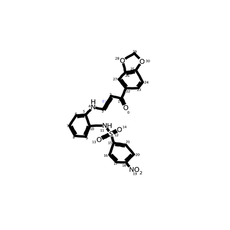 O=C(/C=C/Nc1ccccc1NS(=O)(=O)c1ccc([N+](=O)[O-])cc1)c1ccc2c(c1)OCO2